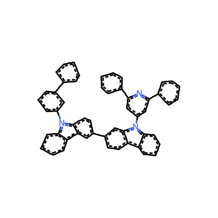 c1ccc(-c2cccc(-n3c4ccccc4c4cc(-c5ccc6c7ccccc7n(-c7cc(-c8ccccc8)nc(-c8ccccc8)c7)c6c5)ccc43)c2)cc1